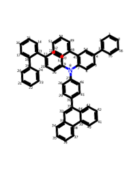 c1ccc(-c2ccc(N(c3ccc(-c4ccccc4-c4ccccc4)cc3)c3ccc(-c4cc5ccccc5c5ccccc45)cc3)c(-c3ccccc3)c2)cc1